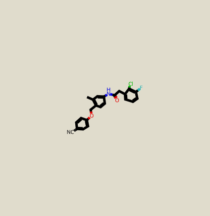 Cc1cc(NC(=O)Cc2cccc(F)c2Cl)ccc1COc1ccc(C#N)cc1